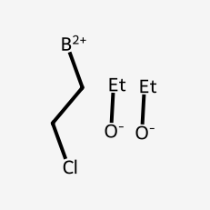 CC[O-].CC[O-].[B+2]CCCl